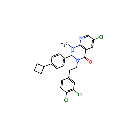 CNc1ncc(Cl)cc1C(=O)N(CCc1ccc(Cl)c(Cl)c1)Cc1ccc(C2CCC2)cc1